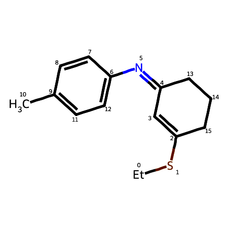 CCSC1=C/C(=N\c2ccc(C)cc2)CCC1